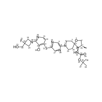 C[C@@H]1COC2(CCN(c3cnc(Sc4ccnc(N5CC(F)(CO)C5)c4Cl)cn3)CC2)[C@@H]1NC(=O)OC(C)(C)C